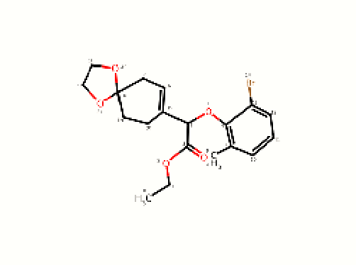 CCOC(=O)C(Oc1c(C)cccc1Br)C1=CCC2(CC1)OCCO2